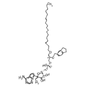 CCCCCCCCCCCCCCCCCCOC[C@H](COP(=O)(O)OC[C@H]1O[C@@](C)(c2ccc3c(N)ncnn23)[C@H](O)[C@@H]1O)OCc1ccc2c(c1)CCC2